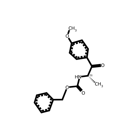 COc1ccc(C(=O)[C@H](C)NC(=O)OCc2ccccc2)cc1